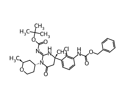 C[C@H]1C[C@H](N2C(=O)C[C@@](C)(c3cccc(NC(=O)OCc4ccccc4)c3Cl)N/C2=N\C(=O)OC(C)(C)C)CCO1